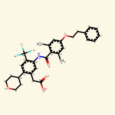 Cc1cc(OCCc2ccccc2)cc(C)c1C(=O)Nc1cc(CC(=O)O)c(C2CCOCC2)cc1C(F)(F)F